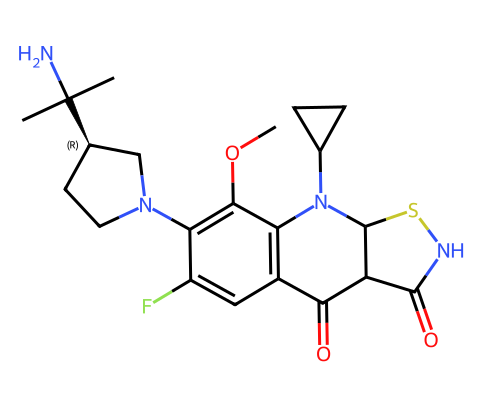 COc1c(N2CC[C@@H](C(C)(C)N)C2)c(F)cc2c1N(C1CC1)C1SNC(=O)C1C2=O